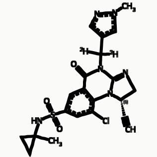 [2H]C([2H])(c1cnn(C)c1)N1C(=O)c2cc(S(=O)(=O)NC3(C)CC3)cc(Cl)c2N2C1=NC[C@@H]2C#C